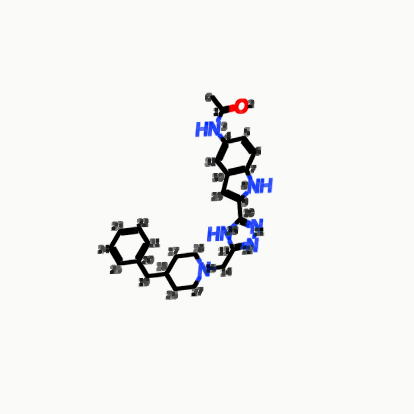 CC(=O)Nc1ccc2[nH]c(-c3nnc(CN4CCC(Cc5ccccc5)CC4)[nH]3)cc2c1